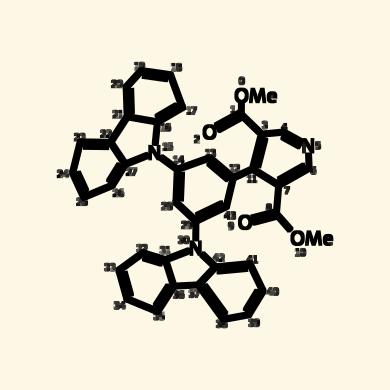 COC(=O)c1cncc(C(=O)OC)c1-c1cc(-n2c3ccccc3c3ccccc32)cc(-n2c3ccccc3c3ccccc32)c1